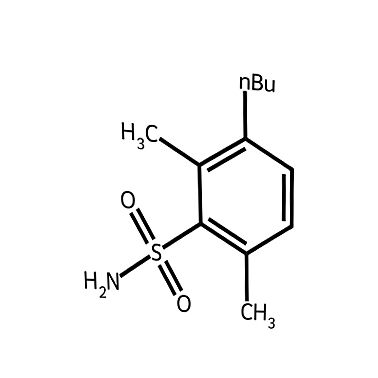 CCCCc1ccc(C)c(S(N)(=O)=O)c1C